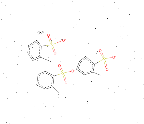 Cc1ccccc1S(=O)(=O)[O-].Cc1ccccc1S(=O)(=O)[O-].Cc1ccccc1S(=O)(=O)[O-].[Sb+3]